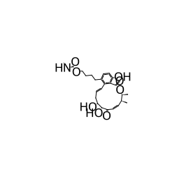 CNC(=O)OCCCCc1ccc(O)c2c1/C=C/C[C@H](O)[C@H](O)C(=O)/C=C\[C@H](C)[C@H](C)OC2=O